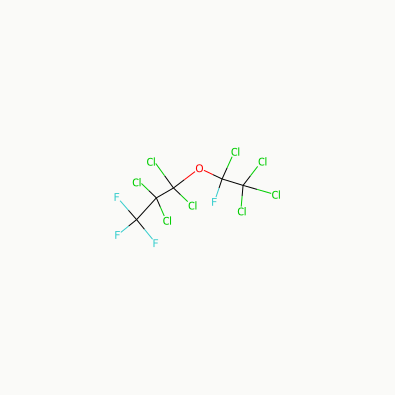 FC(F)(F)C(Cl)(Cl)C(Cl)(Cl)OC(F)(Cl)C(Cl)(Cl)Cl